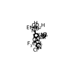 CCC1(C(=O)O)N=C(c2ccc(C(C)C(O)(c3ccnc(Cl)c3)C(F)(F)F)c(Cl)c2)ON1.c1conn1